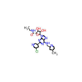 CCNC(=O)[C@H]1O[C@@H](n2cnc3c(NCc4cc(C)ccn4)nc(-c4cncc(Cl)c4)nc32)[C@H](O)[C@@H]1O